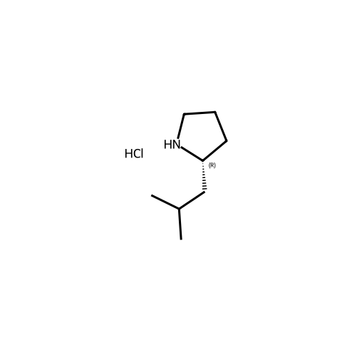 CC(C)C[C@H]1CCCN1.Cl